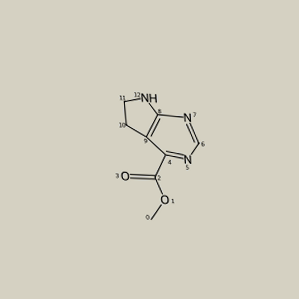 COC(=O)c1ncnc2c1CCN2